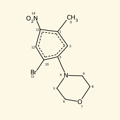 Cc1cc(N2CCOCC2)c(Br)cc1[N+](=O)[O-]